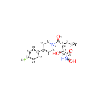 CC(C)C[C@H](C(=O)N1CC=C(c2ccc(F)cc2)CC1)[C@H](O)C(=O)NO